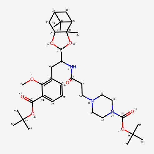 COc1c(CC(NC(=O)CCN2CCN(C(=O)OC(C)(C)C)CC2)B2OC3CC4CC(C4(C)C)C3(C)O2)cccc1C(=O)OC(C)(C)C